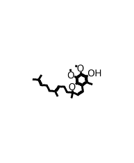 COc1c(O)c(C)c2c(c1OC)OC(C)(CC/C=C(\C)CCC=C(C)C)C=C2